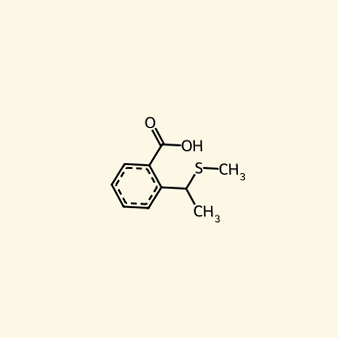 CSC(C)c1ccccc1C(=O)O